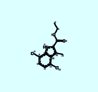 CCOC(=O)c1[nH]c2c(Cl)ccc(Cl)c2c1C